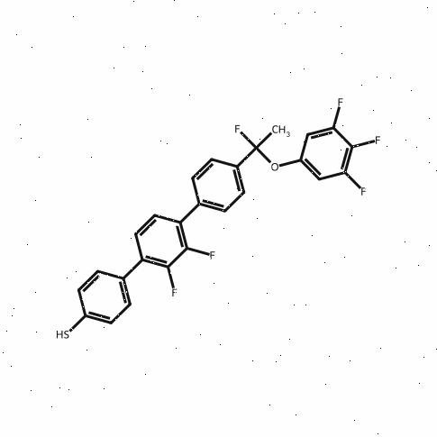 CC(F)(Oc1cc(F)c(F)c(F)c1)c1ccc(-c2ccc(-c3ccc(S)cc3)c(F)c2F)cc1